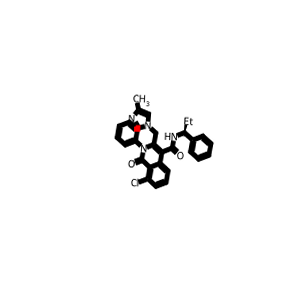 CC[C@H](NC(=O)c1c(Cn2cnc(C)c2)n(-c2ccccc2)c(=O)c2c(Cl)cccc12)c1ccccc1